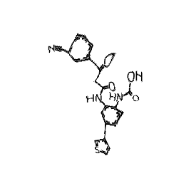 N#Cc1cccc(C(=O)CC(=O)Nc2cc(-c3ccsc3)ccc2NC(=O)O)c1